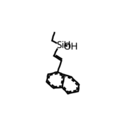 CC[SiH](O)C=Cc1cccc2ccccc12